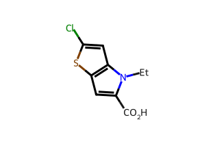 CCn1c(C(=O)O)cc2sc(Cl)cc21